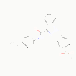 CCCc1ccc(NC(=O)c2nn(Cc3ccc(S(C)(=O)=O)cc3)c3ccccc23)cc1